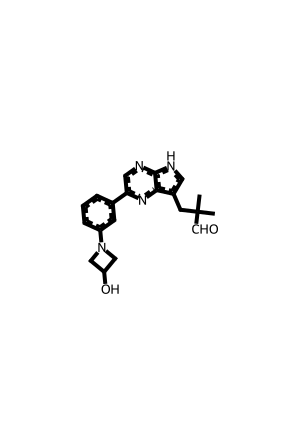 CC(C)(C=O)Cc1c[nH]c2ncc(-c3cccc(N4CC(O)C4)c3)nc12